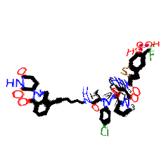 CC(C)(C)[C@H](NC(=O)c1cc2cc(C(F)(F)P(=O)(O)O)ccc2s1)C(=O)N1CCC[C@H]1C(=O)N(CC(=O)NCCCCC#Cc1cccc2c1CN(C1CCC(=O)NC1=O)C2=O)c1ccc(Cl)cc1